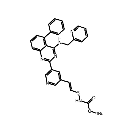 CC(C)(C)OC(=O)NS/C=C/c1cncc(-c2nc(NCc3ccccn3)c3c(-c4ccccc4)cccc3n2)c1